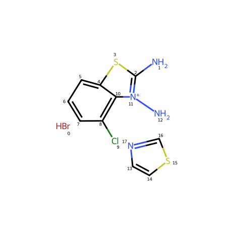 Br.Nc1sc2cccc(Cl)c2[n+]1N.c1cscn1